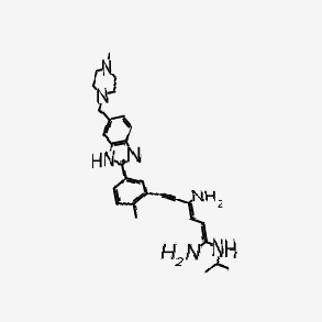 Cc1ccc(-c2nc3ccc(CN4CCN(C)CC4)cc3[nH]2)cc1C#C/C(N)=C/C=C(\N)NC(C)C